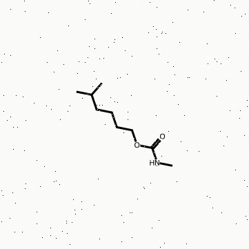 CNC(=O)OCCCCC(C)C